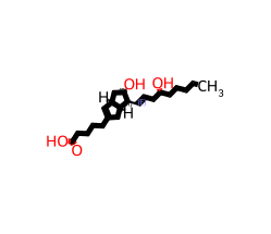 CCCCCC(O)C/C=C/[C@H]1[C@H]2CC(CCCCC(=O)O)=C[C@H]2C[C@H]1O